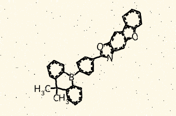 CC1(C)c2ccccc2B(c2ccc(-c3nc4cc5oc6ccccc6c5cc4o3)cc2)c2ccccc21